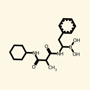 CC(C(=O)NC1CCCCC1)C(=O)NC(Cc1ccccc1)B(O)O